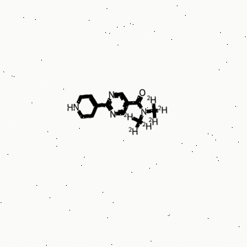 [2H]C([2H])([2H])N(C(=O)c1cnc(C2=CCNCC2)nc1)C([2H])([2H])[2H]